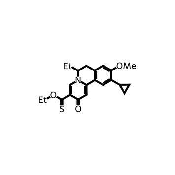 CCOC(=S)c1cn2c(cc1=O)-c1cc(C3CC3)c(OC)cc1CC2CC